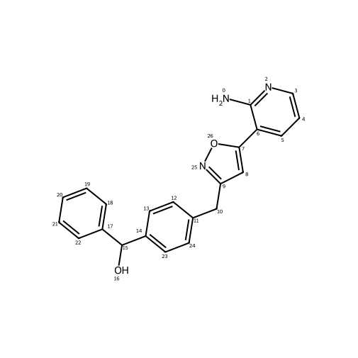 Nc1ncccc1-c1cc(Cc2ccc(C(O)c3ccccc3)cc2)no1